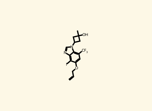 C=CCOc1cc(C(F)(F)F)c2c(ncn2C2CC(C)(O)C2)c1I